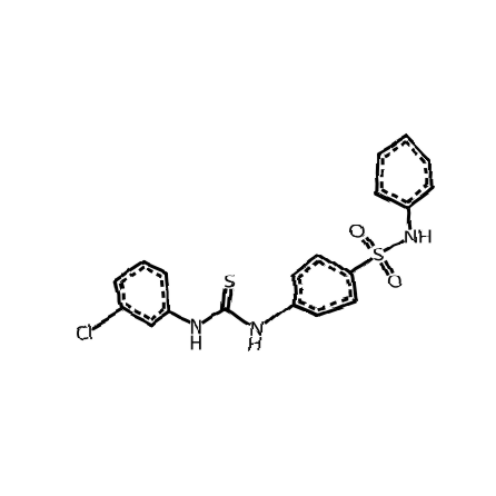 O=S(=O)(Nc1ccccc1)c1ccc(NC(=S)Nc2cccc(Cl)c2)cc1